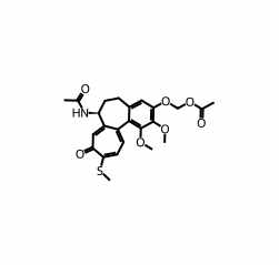 COc1c(OCOC(C)=O)cc2c(c1OC)-c1ccc(SC)c(=O)cc1[C@@H](NC(C)=O)CC2